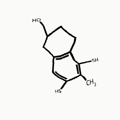 Cc1c(S)cc2c(c1S)CCC(O)C2